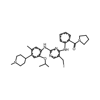 Cc1cc(Nc2ncc(CI)c(Nc3ccccc3C(=O)N3CCCC3)n2)c(OC(C)C)cc1C1CCN(C)CC1